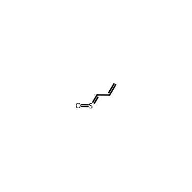 C=C[C]=S=O